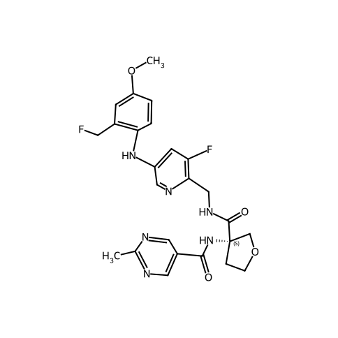 COc1ccc(Nc2cnc(CNC(=O)[C@]3(NC(=O)c4cnc(C)nc4)CCOC3)c(F)c2)c(CF)c1